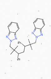 CC(C)C(CC(C(C)C)C(C)(C)Cn1nc2ccccc2n1)C(C)(C)Cn1nc2ccccc2n1